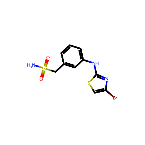 NS(=O)(=O)Cc1cccc(Nc2nc(Br)cs2)c1